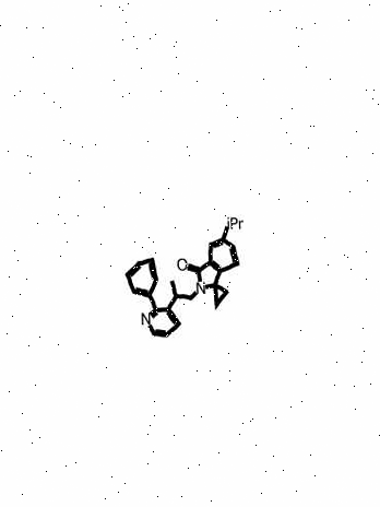 CC(C)c1ccc2c(c1)C(=O)N(CC(C)c1cccnc1-c1ccccc1)C21CC1